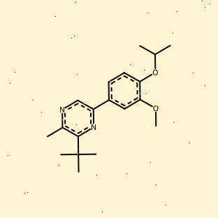 COc1cc(-c2cnc(C)c(C(C)(C)C)n2)ccc1OC(C)C